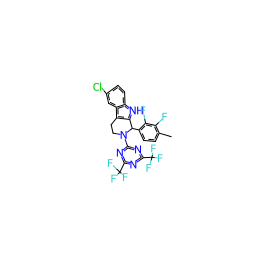 Cc1ccc(C2c3[nH]c4ccc(Cl)cc4c3CCN2c2nc(C(F)(F)F)nc(C(F)(F)F)n2)c(F)c1F